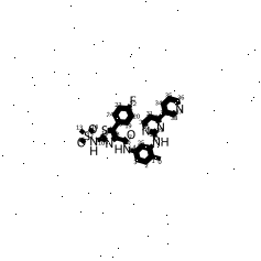 Cc1ccc(NC(=O)c2nc(NS(C)(=O)=O)sc2-c2ccc(F)cc2)cc1Nc1nccc(-c2cccnc2)n1